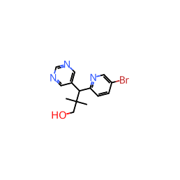 CC(C)(CO)C(c1cncnc1)c1ccc(Br)cn1